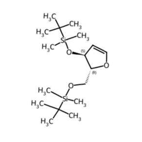 CC(C)(C)[Si](C)(C)OC[C@H]1OC=C[C@@H]1O[Si](C)(C)C(C)(C)C